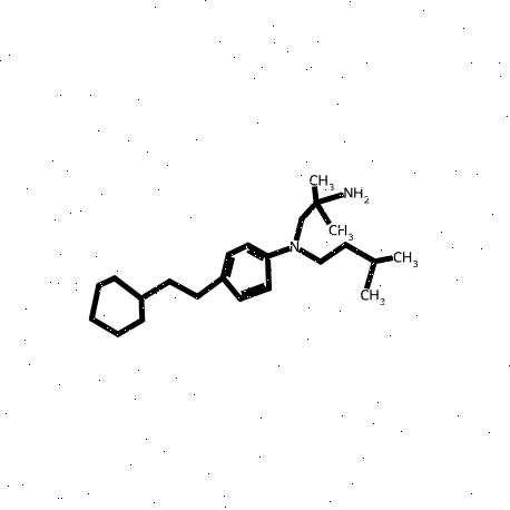 CC(C)CCN(CC(C)(C)N)c1ccc(CCC2CCCCC2)cc1